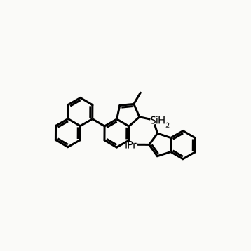 CC1=Cc2c(-c3cccc4ccccc34)cccc2C1[SiH2]C1C(C(C)C)=Cc2ccccc21